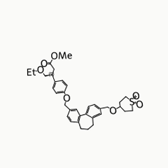 CCOC[C@@H](CC(=O)OC)c1ccc(OCc2ccc3c(c2)-c2ccc(COC4CCS(=O)(=O)CC4)cc2CCC3)cc1